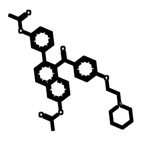 CC(=O)Oc1cccc(-c2ccc3cc(OC(C)=O)ccc3c2C(=O)c2ccc(OCCN3CCCCC3)cc2)c1